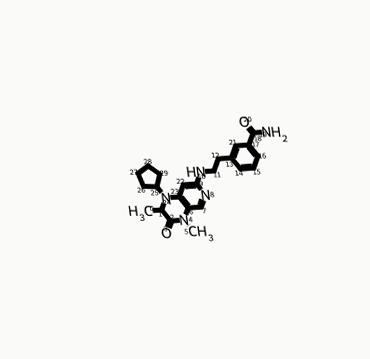 CC1C(=O)N(C)c2cnc(NCCc3cccc(C(N)=O)c3)cc2N1C1CCCC1